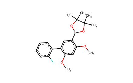 COc1cc(OC)c(-c2ccccc2F)cc1B1OC(C)(C)C(C)(C)O1